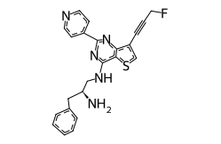 N[C@H](CNc1nc(-c2ccncc2)nc2c(C#CCF)csc12)Cc1ccccc1